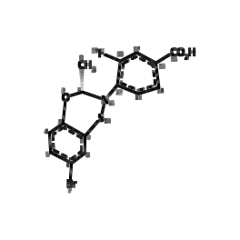 C[C@H]1Oc2ccc(Br)cc2SN1c1ccc(C(=O)O)cc1F